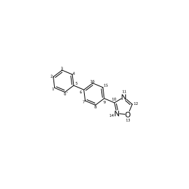 [c]1ccccc1-c1ccc(-c2ncon2)cc1